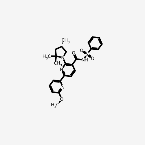 COc1cccc(-c2ccc(C(=O)NS(=O)(=O)c3ccccc3)c(N3C[C@@H](C)CC3(C)C)n2)n1